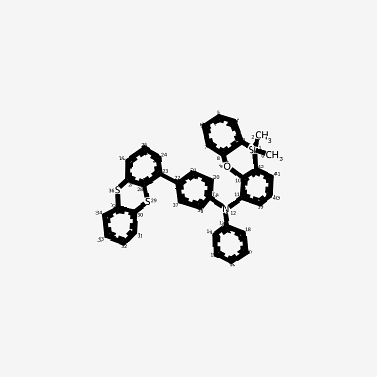 C[Si]1(C)c2ccccc2Oc2c(N(c3ccccc3)c3ccc(-c4cccc5c4Sc4ccccc4S5)cc3)cccc21